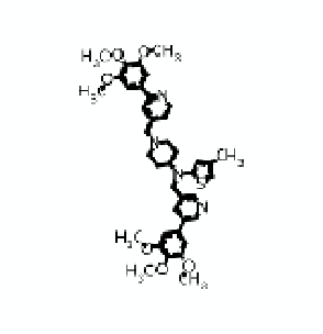 COc1cc(-c2cncc(CN(c3cc(C)cs3)C3CCN(Cc4ccnc(-c5cc(OC)c(OC)c(OC)c5)c4)CC3)c2)cc(OC)c1OC